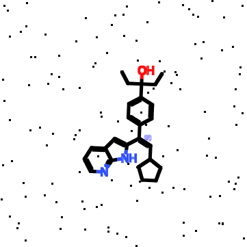 CCC(O)(CC)c1ccc(/C(=C/C2CCCC2)c2cc3cccnc3[nH]2)cc1